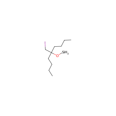 CCCCC(CI)(CCCC)O[SiH3]